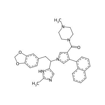 Cc1ncc(C(Cc2ccc3c(c2)OCO3)n2cc(C(=O)N3CCN(C)CC3)c(-c3cccc4ccccc34)c2)[nH]1